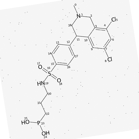 CN1Cc2c(Cl)cc(Cl)cc2C(c2ccc(S(=O)(=O)NCCCP(O)O)cc2)C1